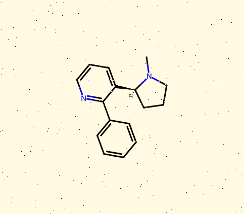 CN1CCC[C@H]1c1cccnc1-c1ccccc1